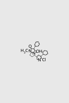 Cn1c2[n+](c(O)c(-c3ccccc3)c1=O)C(c1cnc(Cl)c(-c3ccccc3)c1)CC2